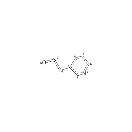 O=S=[C]c1cccnc1